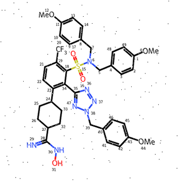 COc1ccc(CN(Cc2ccc(OC)cc2)S(=O)(=O)c2c(C(F)(F)F)ccc(C3CCC(C(=N)NO)CC3)c2-c2nnn(Cc3ccc(OC)cc3)n2)cc1